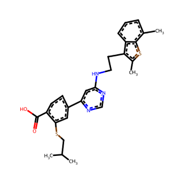 Cc1sc2c(C)cccc2c1CCNc1cc(-c2ccc(C(=O)O)c(SCC(C)C)c2)ncn1